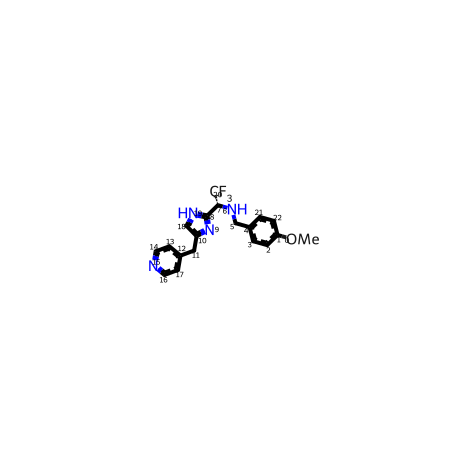 COc1ccc(CN[C@H](c2nc(Cc3ccncc3)c[nH]2)C(F)(F)F)cc1